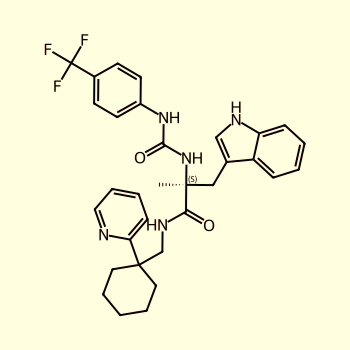 C[C@@](Cc1c[nH]c2ccccc12)(NC(=O)Nc1ccc(C(F)(F)F)cc1)C(=O)NCC1(c2ccccn2)CCCCC1